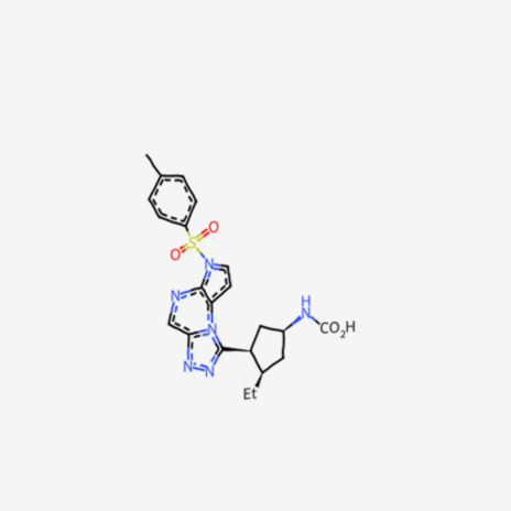 CC[C@@H]1C[C@H](NC(=O)O)C[C@@H]1c1nnc2cnc3c(ccn3S(=O)(=O)c3ccc(C)cc3)n12